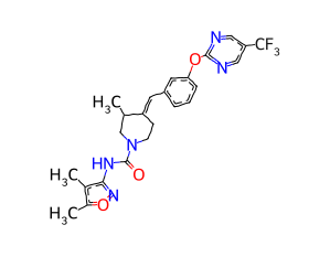 Cc1onc(NC(=O)N2CCC(=Cc3cccc(Oc4ncc(C(F)(F)F)cn4)c3)C(C)C2)c1C